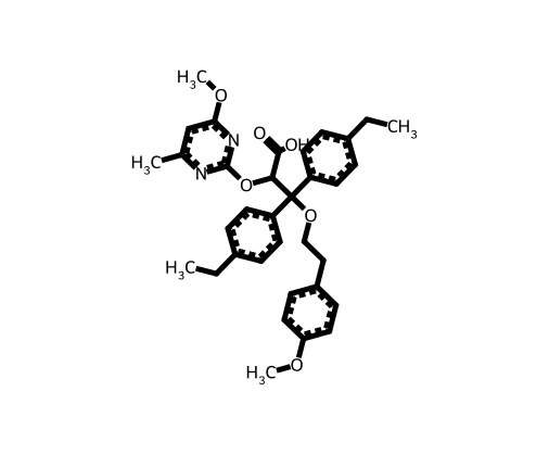 CCc1ccc(C(OCCc2ccc(OC)cc2)(c2ccc(CC)cc2)C(Oc2nc(C)cc(OC)n2)C(=O)O)cc1